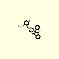 Cc1ccc(F)cc1CN1CCN(C2(c3ccccc3)C(=O)c3ccccc3C2=O)CC1